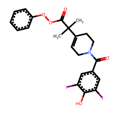 CC(C)(C(=O)OOc1ccccc1)C1=CCN(C(=O)c2cc(I)c(O)c(I)c2)CC1